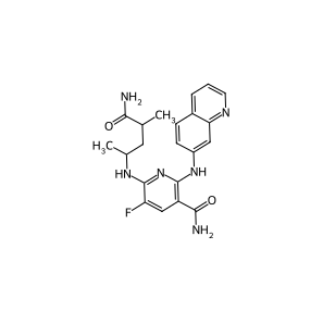 CC(CC(C)C(N)=O)Nc1nc(Nc2ccc3cccnc3c2)c(C(N)=O)cc1F